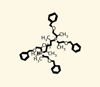 B[PH]([C@H](C)COCc1ccccc1)([C@H](C)COCc1ccccc1)[C@@H](C)CC[C@H](C)P([C@H](C)COCc1ccccc1)[C@H](C)COCc1ccccc1